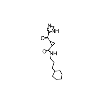 O=C(c1cnc[nH]1)[C@H]1C[C@H]1C(=O)NCCCC1CCCCC1